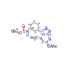 COc1cc(C)n2c([C@H]3CCC[C@@H](NC(=O)OC(C)(C)C)C3)nnc2n1